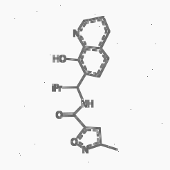 Cc1cc(C(=O)NC(c2ccc3cccnc3c2O)C(C)C)on1